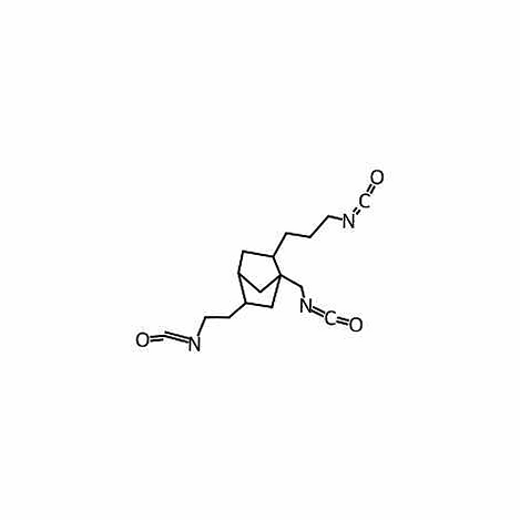 O=C=NCCCC1CC2CC1(CN=C=O)CC2CCN=C=O